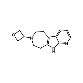 c1cnc2[nH]c3c(c2c1)CCN(C1COC1)CC3